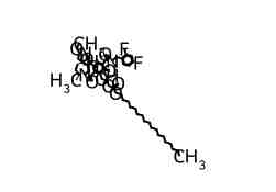 CCCCCCCCCCCCCCCCCCOC(=O)OCOc1c2n(cc(C(=O)NCc3ccc(F)cc3F)c1=O)[C@@H]1CN(C2=O)[C@@H](C)CC[C@]12CC(OC)=NO2